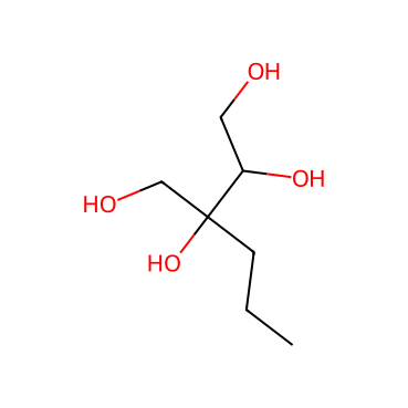 CCCC(O)(CO)C(O)CO